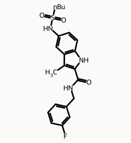 CCCCS(=O)(=O)Nc1ccc2[nH]c(C(=O)NCc3cccc(F)c3)c(C)c2c1